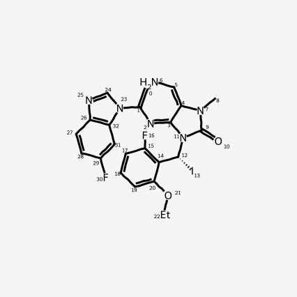 C=C(/N=C1\C(=C/N)N(C)C(=O)N1[C@H](I)c1c(F)cccc1OCC)n1cnc2ccc(F)cc21